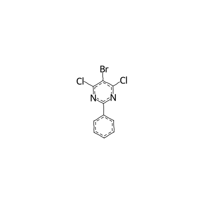 Clc1nc(-c2ccccc2)nc(Cl)c1Br